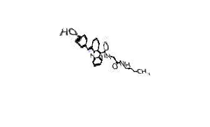 CCCCNC(=O)CNC(=O)c1c2c(nc3ccccc13)/C(=C/c1ccc(O)cc1)CCC2